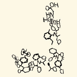 C#CC(C)Oc1cc(N2C(=O)C3=C(CCCC3)C2=O)c(F)cc1Cl.CC1COc2ccccc2N1C(=O)C(Cl)Cl.CCc1cccc(C)c1N(C(=O)CCl)C(C)COC.CS(=O)(=O)c1ccc(C(=O)C2C(=O)CCCC2=O)c([N+](=O)[O-])c1.O=C(O)CNCP(=O)(O)O